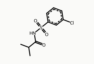 CC(C)C(=O)NS(=O)(=O)c1cccc(Cl)c1